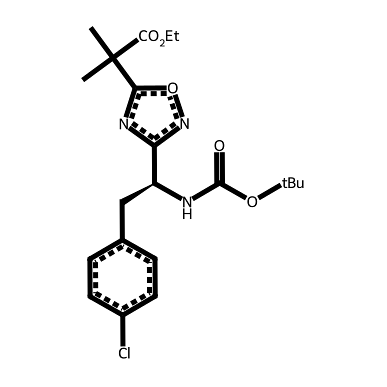 CCOC(=O)C(C)(C)c1nc([C@H](Cc2ccc(Cl)cc2)NC(=O)OC(C)(C)C)no1